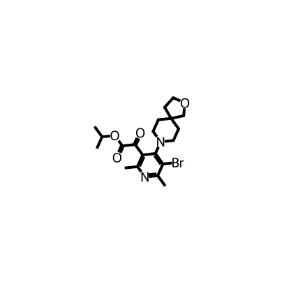 Cc1nc(C)c(C(=O)C(=O)OC(C)C)c(N2CCC3(CCOC3)CC2)c1Br